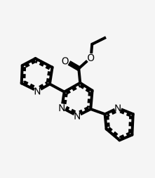 CCOC(=O)c1cc(-c2ccccn2)nnc1-c1ccccn1